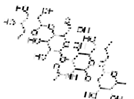 CCCO[C@@H]1OC(C)[C@H](O)[C@H](O)C1O[C@@H]1OC(CO)[C@H](O)[C@H](O[C@@H]2OC(C(=O)O)[C@H](O[C@@H]3O[C@@H](C)[C@H](O)C(O)C3O)[C@H](O)C2O)C1NC(C)=O